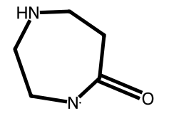 O=C1CCNCC[N]1